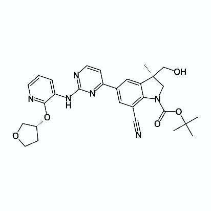 CC(C)(C)OC(=O)N1C[C@](C)(CO)c2cc(-c3ccnc(Nc4cccnc4O[C@@H]4CCOC4)n3)cc(C#N)c21